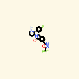 O=C1c2cc(-c3nnc(C(F)F)o3)ccc2CN1[C@H]1CCCN[C@@H]1c1ccc(F)cc1